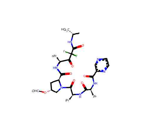 CCC[C@H](NC(=O)[C@@H]1C[C@@H](OC=O)CN1C(=O)[C@@H](NC(=O)[C@@H](NC(=O)c1cnccn1)C(C)C)C(C)C)C(=O)C(F)(F)C(=O)N[C@@H](C)C(=O)O